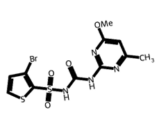 COc1cc(C)nc(NC(=O)NS(=O)(=O)c2sccc2Br)n1